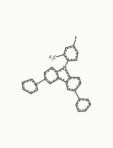 Fc1ccc(-n2c3ccc(-c4ccccc4)cc3c3cc(-c4ccccc4)ccc32)c(C(F)(F)F)c1